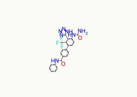 NC(=O)Nc1ccc(-c2ccc(C(=O)Nc3ccccc3)cc2)c(C(F)(F)F)c1-c1nnn[nH]1